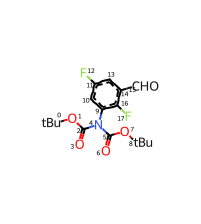 CC(C)(C)OC(=O)N(C(=O)OC(C)(C)C)c1cc(F)cc(C=O)c1F